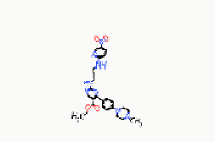 CCOC(=O)c1cnc(NCCNc2ccc([N+](=O)[O-])cn2)nc1-c1ccc(N2CCN(C)CC2)cc1